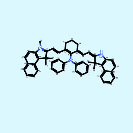 C[N+]1=C(/C=C/C2=C(N(c3ccccc3)c3ccccc3)C(=C/C=C3/Nc4ccc5ccccc5c4C3(C)C)/CCC2)C(C)(C)c2c1ccc1ccccc21